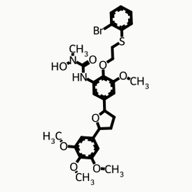 COc1cc(C2CCC(c3cc(OC)c(OC)c(OC)c3)O2)cc(NC(=O)N(C)O)c1OCCSc1ccccc1Br